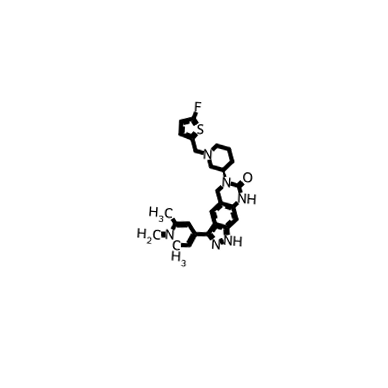 C=N/C(C)=C\C(=C/C)c1n[nH]c2cc3c(cc12)CN([C@@H]1CCCN(Cc2ccc(F)s2)C1)C(=O)N3